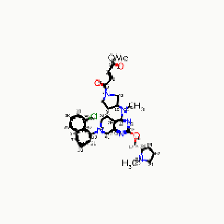 COC(=O)/C=C/C(=O)N1CCC(N(C)c2nc(OC[C@@H]3CCCN3C)nc3c2CCN(c2cccc4cccc(Cl)c24)C3)C1